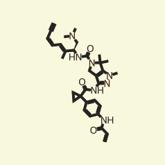 C#C/C=C\C=C(/C)[C@@H](CN(C)C)NC(=O)N1Cc2c(NC(=O)C3(c4ccc(NC(=O)C=C)cc4)CC3)nn(C)c2C1(C)C